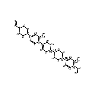 C=CC1CCC(c2ccc(C3=CCC(C4CCC(c5ccc(CC)c(F)c5)CC4)CC3)c(F)c2)CC1